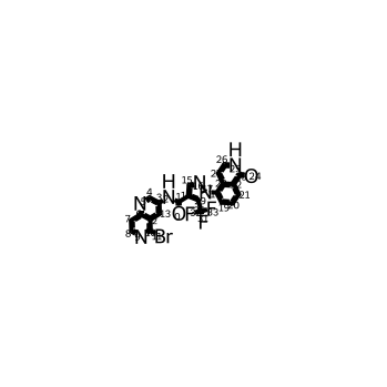 O=C(Nc1cnc2ccnc(Br)c2c1)c1cnn(-c2cccc3c(=O)[nH]ccc23)c1C(F)(F)F